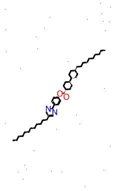 CCCCCCCCCCCCc1cnc(-c2ccc(OC(=O)[C@H]3CC[C@H]([C@H]4CC[C@H](CCCCCCCCCC)CC4)CC3)cc2)nc1